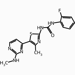 CNc1nccc(-c2sc(NC(=O)Nc3ccccc3F)nc2C)n1